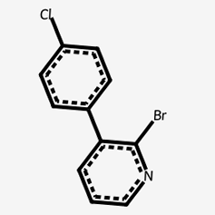 Clc1ccc(-c2cccnc2Br)cc1